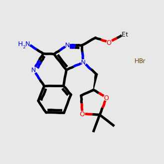 Br.CCOCc1nc2c(N)nc3ccccc3c2n1C[C@@H]1COC(C)(C)O1